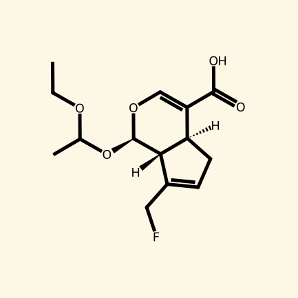 CCOC(C)O[C@H]1OC=C(C(=O)O)[C@H]2CC=C(CF)[C@H]12